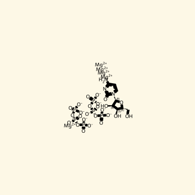 Nc1ccn([C@@H]2O[C@H](CO)[C@@H](O)[C@H]2O)c(=O)n1.O=P([O-])([O-])OP(=O)([O-])OP(=O)([O-])[O-].O=P([O-])([O-])OP(=O)([O-])OP(=O)([O-])[O-].[Mg+2].[Mg+2].[Mg+2].[Mg+2].[Mg+2]